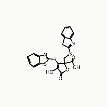 O=C1OC(CSc2nc3ccccc3s2)(C(=O)O)C(Sc2nc3ccccc3s2)=C1O